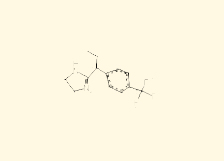 CCC(C1=NCCN1)c1ccc(C(F)(F)F)cc1